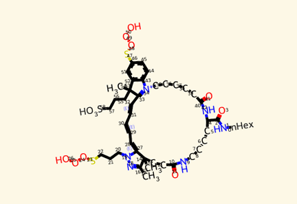 CCCCCCNC(=O)C1CCCCNC(=O)CCC2(C)C(C)=NN(CCCSOOO)/C2=C/C=C/C=C/C2=[N+](CCCCCC(=O)N1)c1ccc(SOOO)cc1C2(C)CCCS(=O)(=O)O